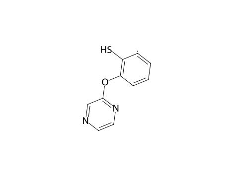 Sc1[c]cccc1Oc1cnccn1